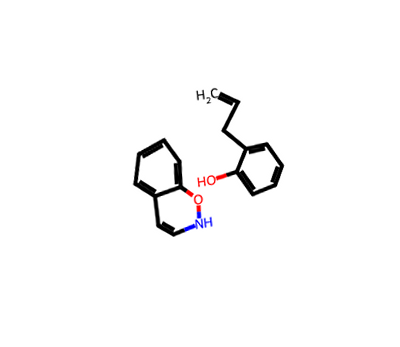 C1=Cc2ccccc2ON1.C=CCc1ccccc1O